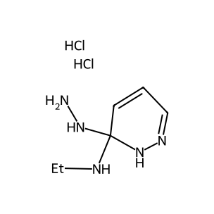 CCNC1(NN)C=CC=NN1.Cl.Cl